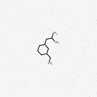 CCC1CCCC(C[C](C)C)C1